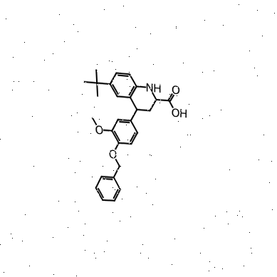 COc1cc(C2CC(C(=O)O)Nc3ccc(C(C)(C)C)cc32)ccc1OCc1ccccc1